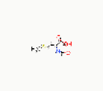 CSCC[C@H](N=C=O)C(=O)O